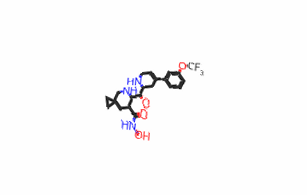 O=C(NO)C1CC2(CC2)CNC1C(=O)C1CC(c2cccc(OC(F)(F)F)c2)=CCN1